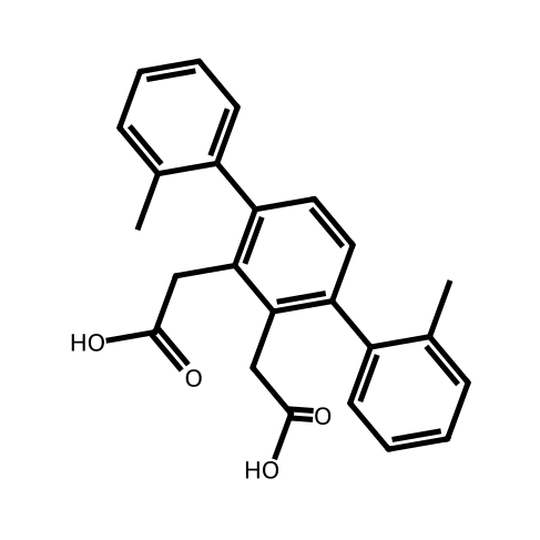 Cc1ccccc1-c1ccc(-c2ccccc2C)c(CC(=O)O)c1CC(=O)O